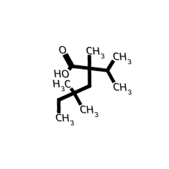 CCC(C)(C)CC(C)(C(=O)O)C(C)C